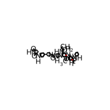 C=CC(=O)Nc1cc(Nc2ncc(C(F)(F)F)c(Nc3ccccc3)n2)c(OC)cc1N1CCN(C(=O)CN2CCC(c3ccc(NC4CCC(=O)NC4=O)cc3)CC2)CC1